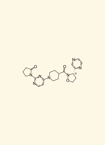 O=C1CCCN1c1nccc(N2CCC(C(=O)N3OCC[C@H]3c3cnccn3)CC2)n1